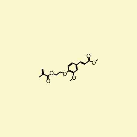 C=C(C)C(=O)OCCOc1ccc(/C=C/C(=O)OC)cc1OC